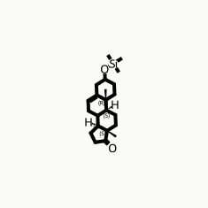 C[C@]12CCC(O[Si](C)(C)C)CC1=CCC1[C@@H]2CC[C@]2(C)C(=O)CC[C@@H]12